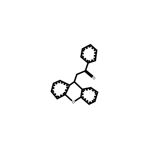 O=C(CC1c2ccccc2Oc2ccccc21)c1ccccc1